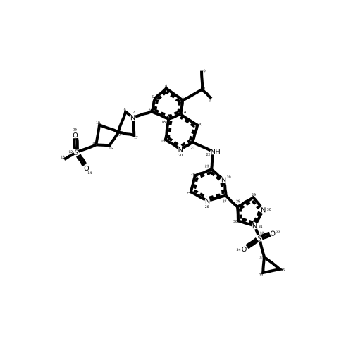 CC(C)c1ccc(N2CC3(CC(S(C)(=O)=O)C3)C2)c2cnc(Nc3ccnc(-c4cnn(S(=O)(=O)C5CC5)c4)n3)cc12